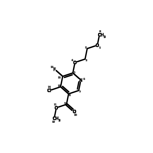 COCCOc1ncc(C(=O)OC)c(Cl)c1F